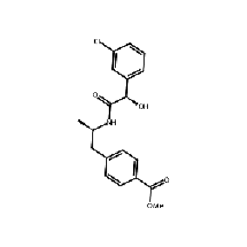 COC(=O)c1ccc(C[C@@H](C)NC(=O)[C@H](O)c2cccc(Cl)c2)cc1